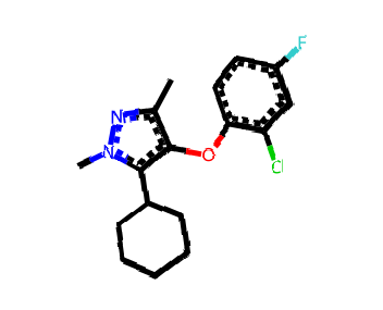 Cc1nn(C)c(C2CCCCC2)c1Oc1ccc(F)cc1Cl